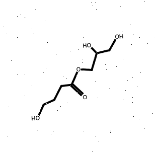 O=C(CCCO)OCC(O)CO